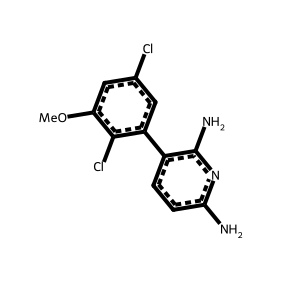 COc1cc(Cl)cc(-c2ccc(N)nc2N)c1Cl